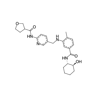 Cc1ccc(C(=O)N[C@H]2CCCC[C@@H]2O)cc1NCc1ccc(NC(=O)C2CCOC2)nc1